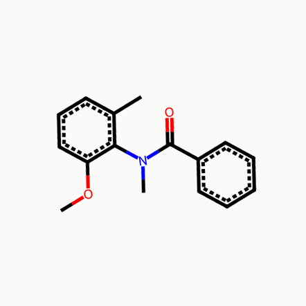 COc1cccc(C)c1N(C)C(=O)c1ccccc1